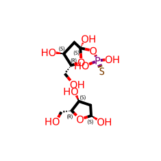 OC[C@H]1O[C@H](O)C[C@@H]1O.OC[C@H]1O[C@](O)(OP(O)(O)=S)C[C@@H]1O